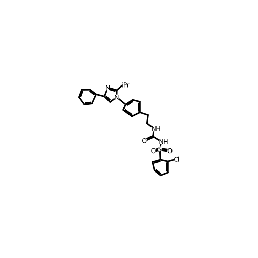 CC(C)c1nc(-c2ccccc2)cn1-c1ccc(CCNC(=O)NS(=O)(=O)c2ccccc2Cl)cc1